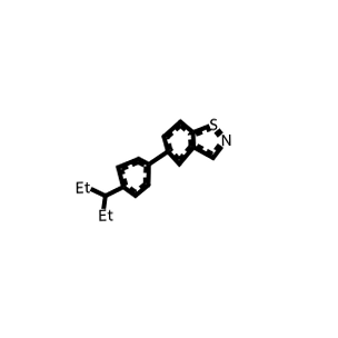 CCC(CC)c1ccc(-c2ccc3sncc3c2)cc1